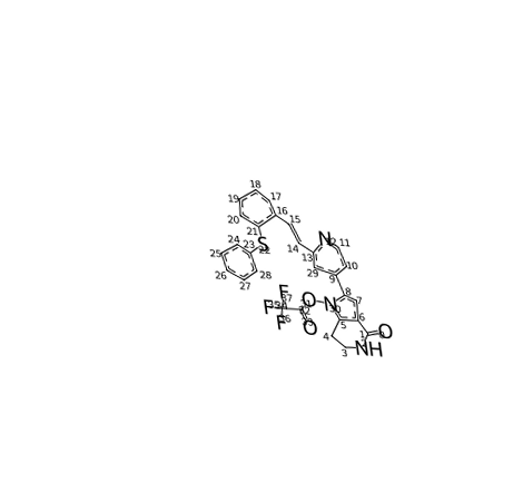 O=C1NCCc2c1cc(-c1ccnc(C=Cc3ccccc3Sc3ccccc3)c1)n2OC(=O)C(F)(F)F